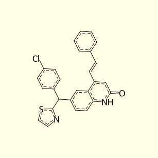 O=c1cc(C=Cc2ccccc2)c2cc(C(c3ccc(Cl)cc3)c3nccs3)ccc2[nH]1